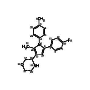 Cc1ccc(-n2c(-c3ccc(F)cc3)cc(C3COCCN3)c2C)cc1